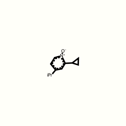 CC(C)c1cc[n+]([O-])c(C2CC2)c1